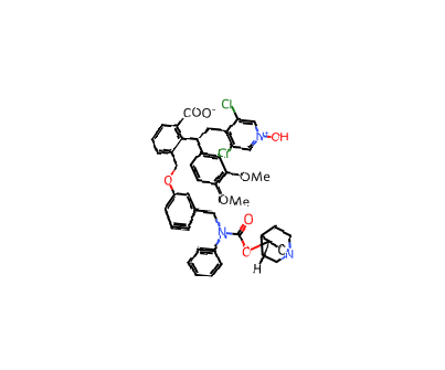 COc1ccc([C@H](Cc2c(Cl)c[n+](O)cc2Cl)c2c(COc3cccc(CN(C(=O)O[C@H]4CN5CCC4CC5)c4ccccc4)c3)cccc2C(=O)[O-])cc1OC